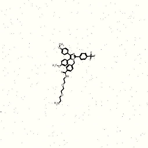 COc1ccc(-c2nc(-c3ccc(C(F)(F)F)cc3)n(Cc3ccc(C(=O)NCCOCCOCCN)cc3)c2-c2ccc(OC)cc2)cc1